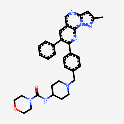 Cc1cc2ncc3cc(-c4ccccc4)c(-c4ccc(CN5CCC(NC(=O)N6CCOCC6)CC5)cc4)nc3n2n1